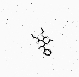 CCOC(=O)C(C(=O)OCC)C(OCC)C(OC)c1ccccn1